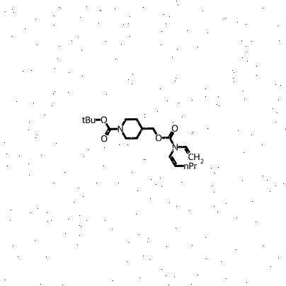 C=CN(/C=C\CCC)C(=O)OCC1CCN(C(=O)OC(C)(C)C)CC1